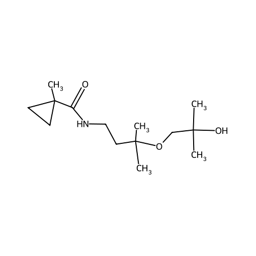 CC(C)(O)COC(C)(C)CCNC(=O)C1(C)CC1